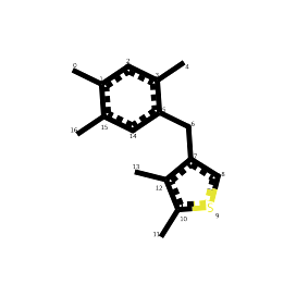 Cc1cc(C)c(Cc2csc(C)c2C)cc1C